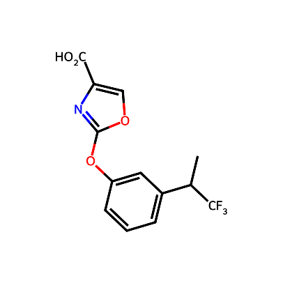 CC(c1cccc(Oc2nc(C(=O)O)co2)c1)C(F)(F)F